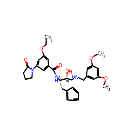 CCOc1cc(C(=O)N[C@@H](Cc2ccccc2)[C@@H](O)CNCc2cc(OC)cc(OC)c2)cc(N2CCCC2=O)c1